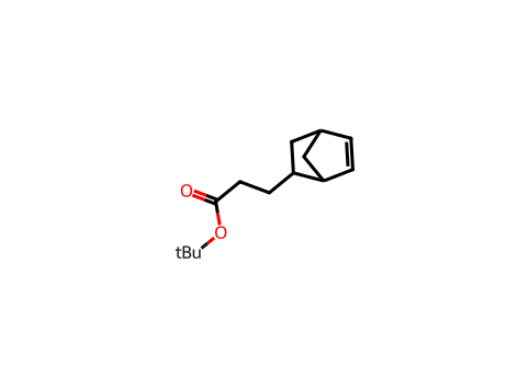 CC(C)(C)OC(=O)CCC1CC2C=CC1C2